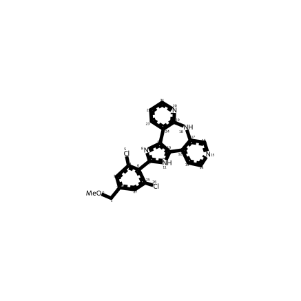 COCc1cc(Cl)c(-c2nc3c([nH]2)-c2ccncc2Nc2ncccc2-3)c(Cl)c1